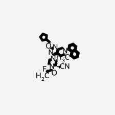 C=C(F)C(=O)N1CCN(c2nc(OCC3CCCC3)nc3c2CCN(c2cccc4cccc(C)c24)C3)C[C@@H]1CC#N